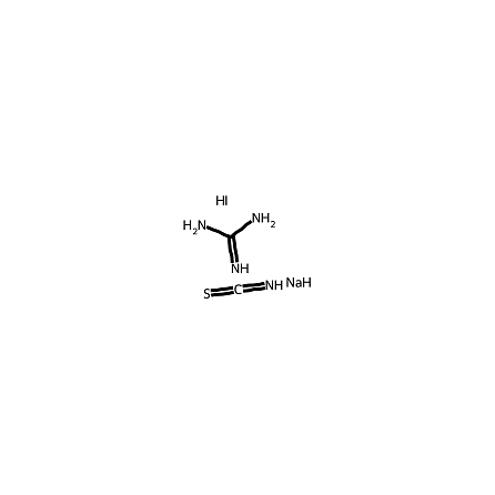 I.N=C(N)N.N=C=S.[NaH]